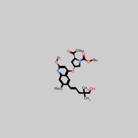 CCOc1cc(O[C@@H]2C[C@@H](C(=O)OC)N(C(=O)OC(C)(C)C)C2)c2cc(/C=C/CC(C)(C)CO)c(OC)cc2n1